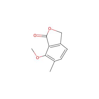 COc1c(C)ccc2c1C(=O)OC2